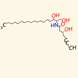 CCCCCCCCCCCCCCCC(O)C(CO)NC(=O)CC(O)CCCCCC